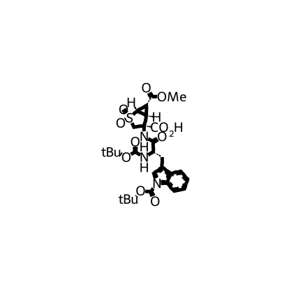 COC(=O)[C@@H]1[C@@H]2[C@H]1S(=O)(=O)C[C@@]2(NC(=O)[C@H](Cc1cn(C(=O)OC(C)(C)C)c2ccccc12)NC(=O)OC(C)(C)C)C(=O)O